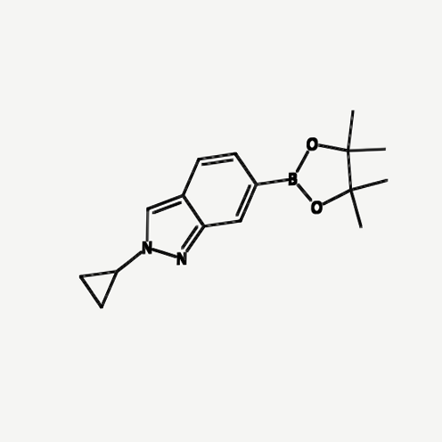 CC1(C)OB(c2ccc3cn(C4CC4)nc3c2)OC1(C)C